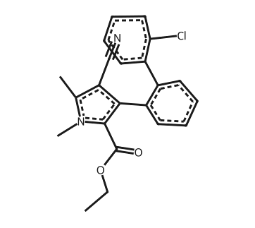 CCOC(=O)c1c(-c2ccccc2-c2ccccc2Cl)c(C#N)c(C)n1C